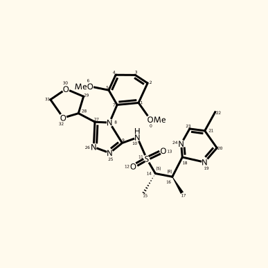 COc1cccc(OC)c1-n1c(NS(=O)(=O)[C@@H](C)[C@H](C)c2ncc(C)cn2)nnc1C1COCO1